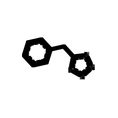 c1ccc(Cc2nnns2)cc1